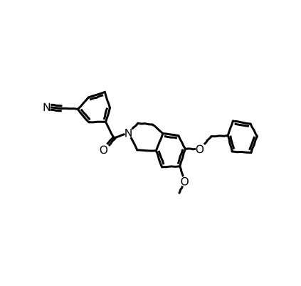 COc1cc2c(cc1OCc1ccccc1)CCN(C(=O)c1cccc(C#N)c1)C2